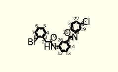 O=C(Cc1ccccc1Br)Nc1cccc(-c2nc3cc(Cl)ccc3o2)c1